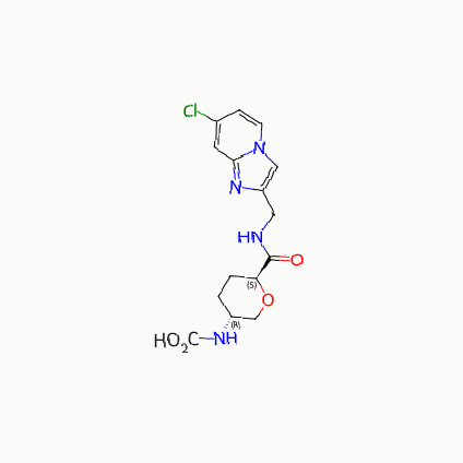 O=C(O)N[C@@H]1CC[C@@H](C(=O)NCc2cn3ccc(Cl)cc3n2)OC1